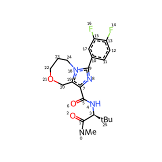 CNC(=O)[C@@H](NC(=O)c1nc(-c2ccc(F)c(F)c2)n2c1COCCC2)C(C)(C)C